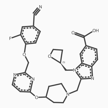 N#Cc1ccc(OCc2nccc(OC3CCN(Cc4nc5ccc(C(=O)O)cc5n4C[C@@H]4CCO4)CC3)n2)c(F)c1